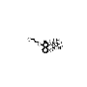 CC(C)(C)N(C(=O)O)c1ccc(OCCCCl)c2ccccc12